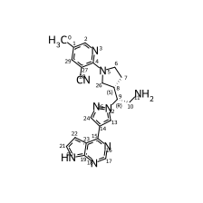 Cc1cnc(N2CC[C@H]([C@H](CN)n3cc(-c4ncnc5[nH]ccc45)cn3)C2)c(C#N)c1